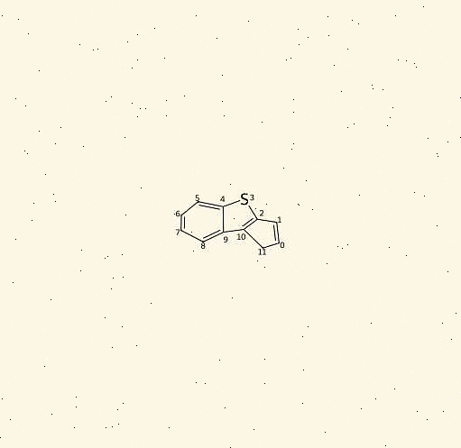 C1=Cc2sc3ccccc3c2C1